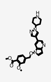 COC(=O)c1ccc(COn2ccc3ncc(-c4cnn(C5CCNCC5)c4)cc32)cc1OC